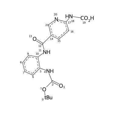 CC(C)(C)OC(=O)Nc1ccccc1NC(=O)c1ccc(NC(=O)O)nc1